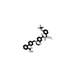 C[C@H](NC(=O)c1ccc2c(c1)OCCN2Cc1ccc(-c2ccccc2C(=O)O)cc1)c1cccc(OC(F)(F)F)c1